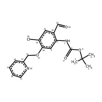 CC(C)(C)OC(=O)Nc1cc(OCc2ccccn2)c(Cl)cc1C=O